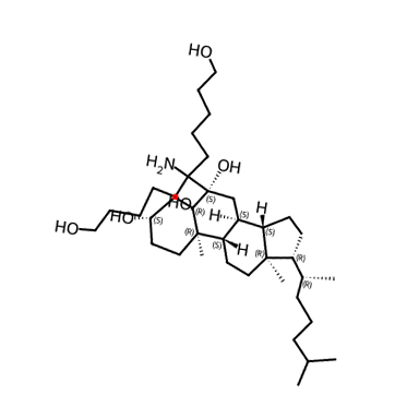 CC(C)CCC[C@@H](C)[C@H]1CC[C@H]2[C@@H]3C[C@](O)(C(N)(CCCCCO)CCCCCO)[C@@]4(O)C[C@@H](O)CC[C@]4(C)[C@H]3CC[C@]12C